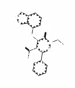 CCn1nc(-c2ccccc2)c(C(C)=O)c(Nc2cccc3cn[nH]c23)c1=O